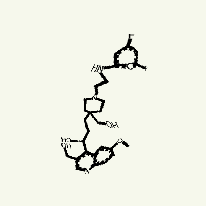 COc1ccc2ncc(CO)c([C@@H](O)CCC3(CO)CCN(CCNc4cc(F)cc(F)c4)CC3)c2c1